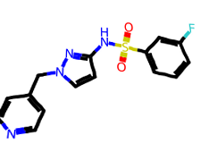 O=S(=O)(Nc1ccn(Cc2ccncc2)n1)c1cccc(F)c1